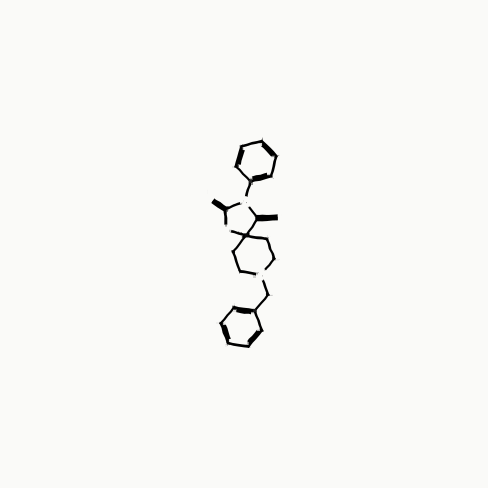 C=C1N(c2ccccc2)C(=O)OC12CCN(Cc1ccccc1)CC2